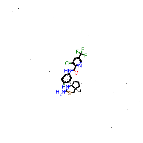 NC1N[C@@]2(c3cc(NC(=O)c4ncc(C(F)(F)F)cc4Cl)ccc3F)CCC[C@H]2CS1